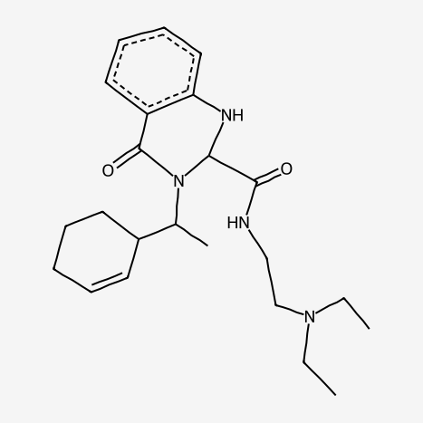 CCN(CC)CCNC(=O)C1Nc2ccccc2C(=O)N1C(C)C1C=CCCC1